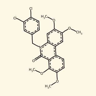 COc1cc2c3ccc(OC)c(OC)c3c(=O)n(Cc3ccc(Cl)c(Cl)c3)c2cc1OC